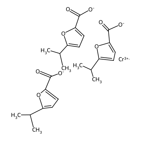 CC(C)c1ccc(C(=O)[O-])o1.CC(C)c1ccc(C(=O)[O-])o1.CC(C)c1ccc(C(=O)[O-])o1.[Cr+3]